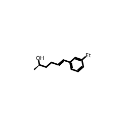 CCc1cccc(/C=C/CC[C@@H](C)O)c1